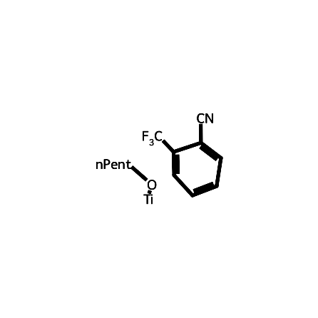 CCCCC[O][Ti].N#Cc1ccccc1C(F)(F)F